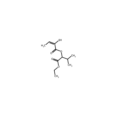 C/C=C(/S)C(=O)OC(C(=O)OCC)C(C)C